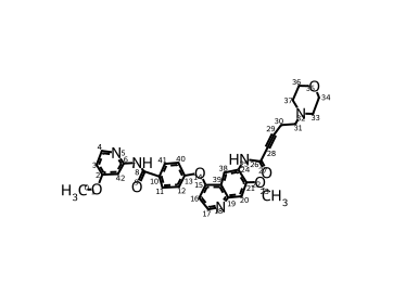 COc1ccnc(NC(=O)c2ccc(Oc3ccnc4cc(OC)c(NC(=O)C#CCCN5CCOCC5)cc34)cc2)c1